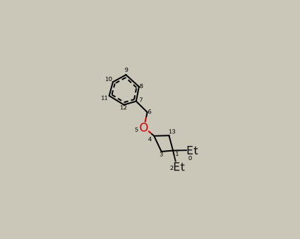 CCC1(CC)CC(OCc2ccccc2)C1